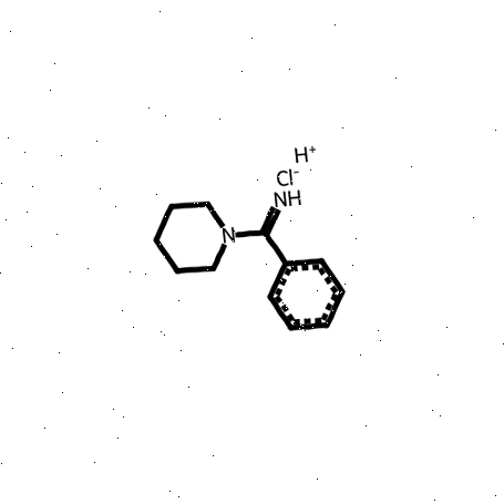 N=C(c1ccccc1)N1CCCCC1.[Cl-].[H+]